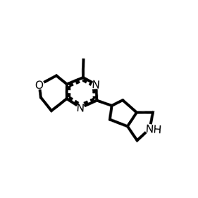 Cc1nc(C2CC3CNCC3C2)nc2c1COCC2